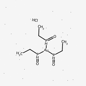 CC[PH](=O)[Au]([PH](=O)CC)[PH](=O)CC.Cl